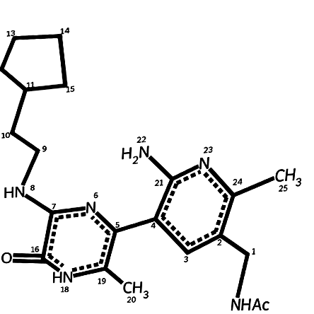 CC(=O)NCc1cc(-c2nc(NCCC3CCCC3)c(=O)[nH]c2C)c(N)nc1C